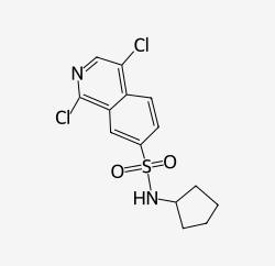 O=S(=O)(NC1CCCC1)c1ccc2c(Cl)cnc(Cl)c2c1